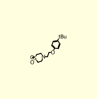 CC(C)(C)c1ccc(OCCN2CCS(=O)(=O)CC2)cc1